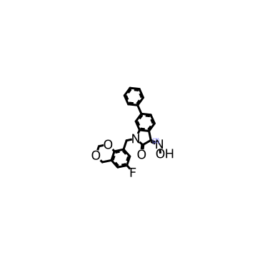 O=C1/C(=N\O)c2ccc(-c3ccccc3)cc2N1Cc1cc(F)cc2c1OCOC2